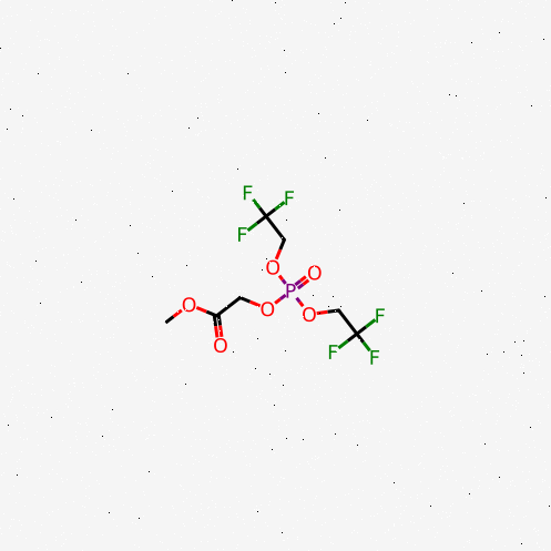 COC(=O)COP(=O)(OCC(F)(F)F)OCC(F)(F)F